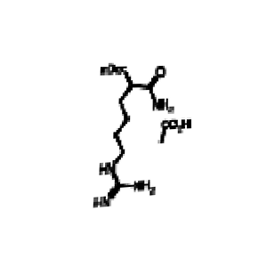 CC(=O)O.CCCCCCCCCCC(CCCCNC(=N)N)C(N)=O